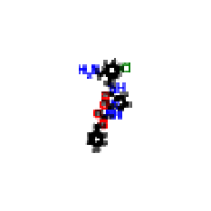 NCc1ccc(Cl)cc1CNC(=O)[C@@H]1CCCN1C(=O)NC(=O)OCc1ccccc1